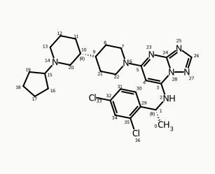 C[C@@H](Nc1cc(N2CCC([C@H]3CCCN(C4CCCC4)C3)CC2)nc2ncnn12)c1ccc(Cl)cc1Cl